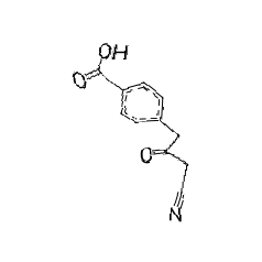 N#CCC(=O)Cc1ccc(C(=O)O)cc1